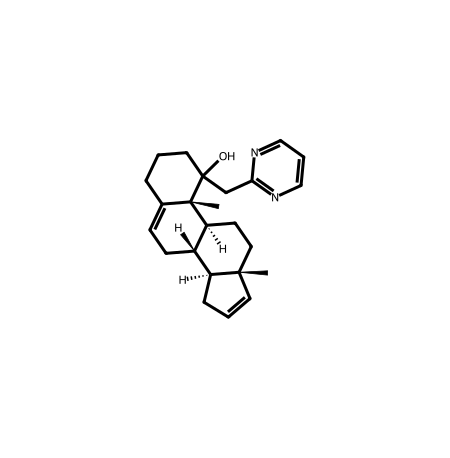 C[C@@]12C=CC[C@H]1[C@@H]1CC=C3CCCC(O)(Cc4ncccn4)[C@]3(C)[C@H]1CC2